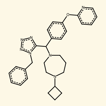 c1ccc(Cn2nnnc2C(c2ccc(Oc3ccccn3)cc2)N2CCCN(C3CCC3)CC2)cc1